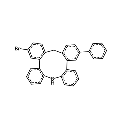 Brc1ccc2c(c1)-c1ccccc1Bc1ccccc1-c1cc(-c3ccccc3)ccc1C2